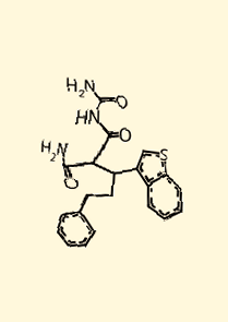 NC(=O)NC(=O)[C](C(N)=O)C(CCc1ccccc1)c1csc2ccccc12